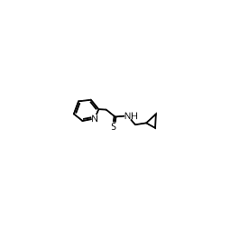 S=C(Cc1ccccn1)NCC1CC1